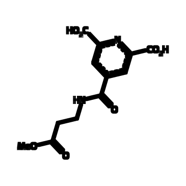 COC(=O)CCNC(=O)c1cc(C(=O)O)nc(C(=O)O)c1